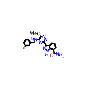 COc1nnc(-c2n[nH]c3c(C(N)=O)cccc23)nc1NCc1cccc(F)c1